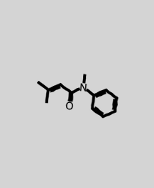 CC(C)=CC(=O)N(C)c1ccccc1